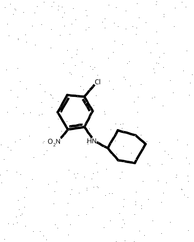 O=[N+]([O-])c1ccc(Cl)cc1NC1CCCCC1